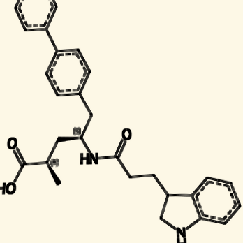 C[C@H](C[C@@H](Cc1ccc(-c2ccccc2)cc1)NC(=O)CCC1CNc2ccccc21)C(=O)O